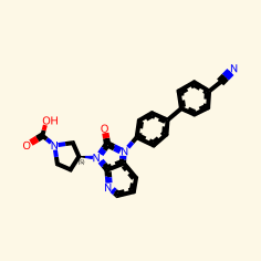 N#Cc1ccc(-c2ccc(-n3c(=O)n([C@H]4CCN(C(=O)O)C4)c4ncccc43)cc2)cc1